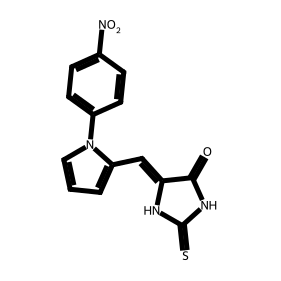 O=C1NC(=S)N/C1=C\c1cccn1-c1ccc([N+](=O)[O-])cc1